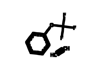 C#C.FC(F)(F)Oc1ccccc1